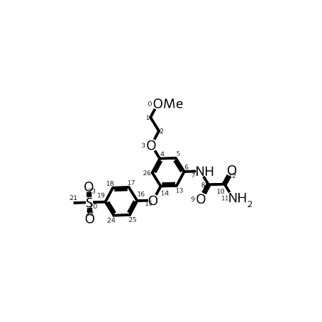 COCCOc1cc(NC(=O)C(N)=O)cc(Oc2ccc(S(C)(=O)=O)cc2)c1